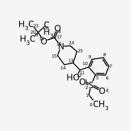 CCS(=O)(=O)c1ccccc1C(O)C1CCN(C(=O)OC(C)(C)C)CC1